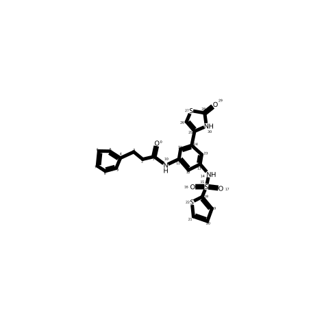 O=C(CCc1ccccc1)Nc1cc(NS(=O)(=O)c2cccs2)cc(-c2csc(=O)[nH]2)c1